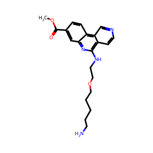 COC(=O)c1ccc2c(c1)nc(NCCOCCCCCN)c1ccncc12